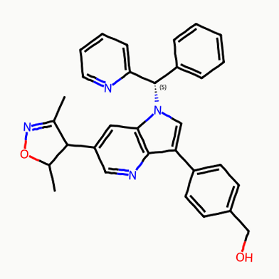 CC1=NOC(C)C1c1cnc2c(-c3ccc(CO)cc3)cn([C@@H](c3ccccc3)c3ccccn3)c2c1